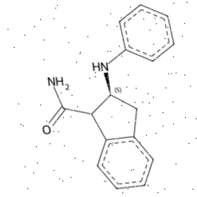 NC(=O)C1c2cc[c]cc2C[C@@H]1Nc1ccccc1